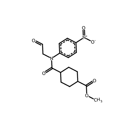 COC(=O)C1CCC(C(=O)N(CC=O)c2ccc([N+](=O)[O-])cc2)CC1